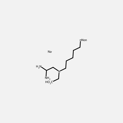 CCCCCCCCCCCCCCN(CC(=O)O)CC(N)N.[Na]